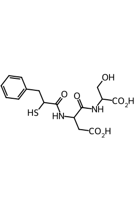 O=C(O)CC(NC(=O)C(S)Cc1ccccc1)C(=O)NC(CO)C(=O)O